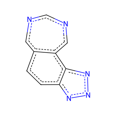 c1ncc2ccc3nnnc3c2cn1